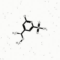 CO[C@@H](C)c1cc(Cl)nc(S(C)(=O)=O)c1